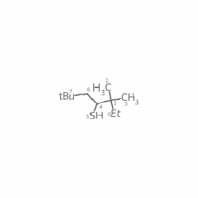 CCC(C)(C)C(S)CC(C)(C)C